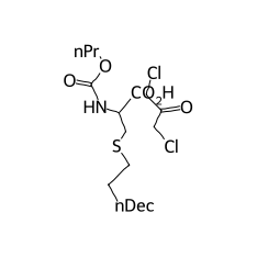 CCCCCCCCCCCCSCC(NC(=O)OCCC)C(=O)O.O=C(CCl)CCl